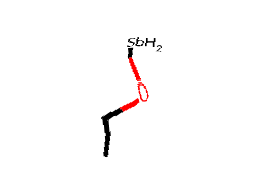 CC[O][SbH2]